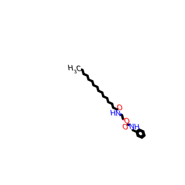 CCCCCCCCCCCCCCCC(=O)NCCOC(=O)NCc1ccccc1